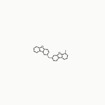 Cc1cccc2c1oc1cc(Cc3ccc4oc5ccccc5c4c3)ccc12